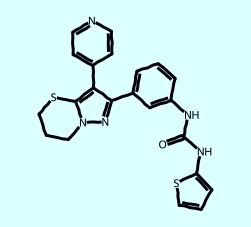 O=C(Nc1cccc(-c2nn3c(c2-c2ccncc2)SCCC3)c1)Nc1cccs1